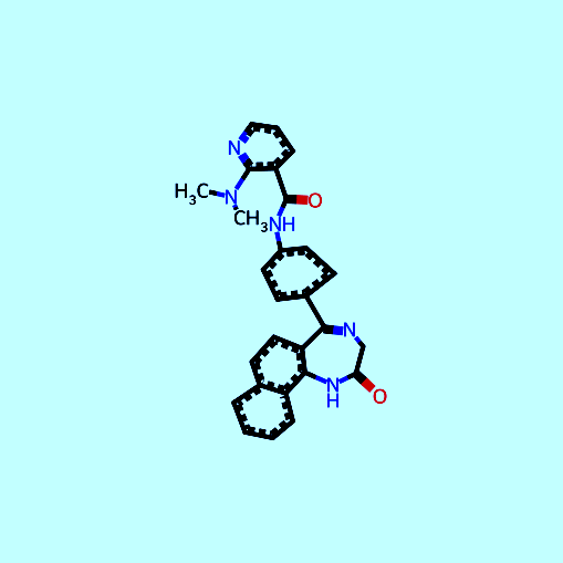 CN(C)c1ncccc1C(=O)Nc1ccc(C2=NCC(=O)Nc3c2ccc2ccccc32)cc1